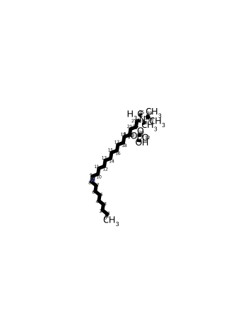 CCCCCCCC/C=C\CCCCCCCCCCCCC(C[N+](C)(C)C(C)C)OP(=O)(O)O